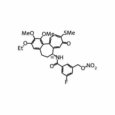 CCOc1cc2c(c(OC)c1OC)-c1ccc(SC)c(=O)cc1[C@@H](NC(=O)c1cc(F)cc(CO[N+](=O)[O-])c1)CC2